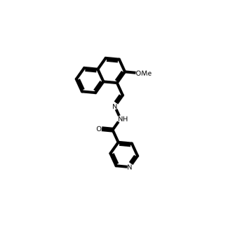 COc1ccc2ccccc2c1C=NNC(=O)c1ccncc1